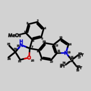 COc1ccccc1C1(c2ccc3c(ccn3[Si](C(C)C)(C(C)C)C(C)C)c2)NC(C)(C)CO1